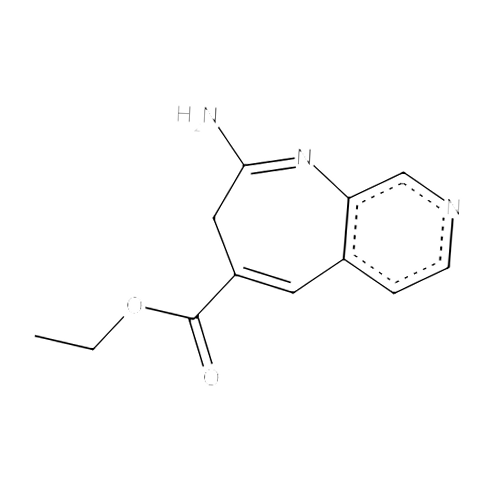 CCOC(=O)C1=Cc2ccncc2N=C(N)C1